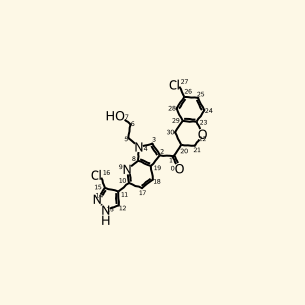 O=C(c1cn(CCO)c2nc(-c3c[nH]nc3Cl)ccc12)C1COc2ccc(Cl)cc2C1